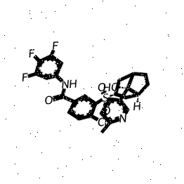 Cc1ccc([C@@]2(O)C3CC[C@H]2C[C@H](S(=O)(=O)c2cc(C(=O)Nc4cc(F)c(F)c(F)c4)ccc2Cl)C3)cn1